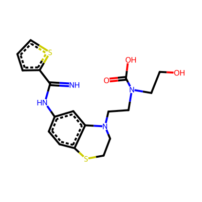 N=C(Nc1ccc2c(c1)N(CCN(CCO)C(=O)O)CCS2)c1cccs1